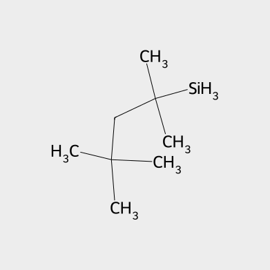 CC(C)(C)CC(C)(C)[SiH3]